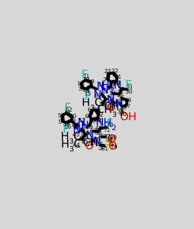 CC(C)(C)[C@H](c1nc(-c2cc(F)ccc2F)nn1Cc1ccccc1)N(CC[C@H](N)CF)C(=O)N1CCC[C@@H]1CO.CC(C)(C)[C@H](c1nc(-c2cc(F)ccc2F)nn1Cc1ccccc1)N(CC[C@H](N)CF)C(=O)N1CCS(=O)(=O)CC1